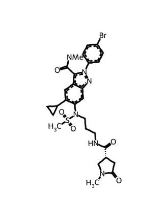 CNC(=O)c1c2cc(C3CC3)c(N(CCCNC(=O)[C@@H]3CC(=O)N(C)C3)S(C)(=O)=O)cc2nn1-c1ccc(Br)cc1